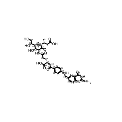 C[C@H](CC(=O)O)NC(=O)[C@@H](NC(=O)CC[C@H](NC(=O)c1ccc(NCc2cnc3nc(N)[nH]c(=O)c3n2)cc1)C(=O)O)[C@@H](O)[C@H](O)[C@H](O)CO